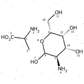 CC(N)C(=O)O.N[C@H]1C(O)O[C@H](CO)[C@H](O)[C@@H]1O